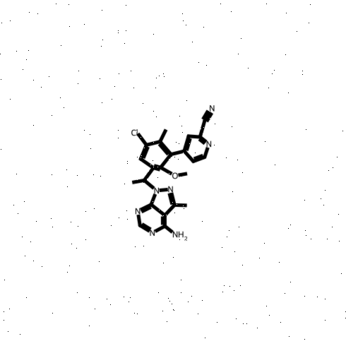 COc1c(C(C)n2nc(C)c3c(N)ncnc32)cc(Cl)c(C)c1-c1ccnc(C#N)c1